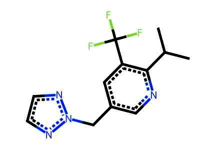 CC(C)c1ncc(Cn2nccn2)cc1C(F)(F)F